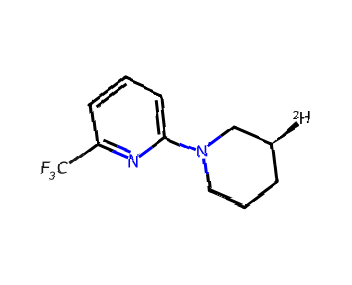 [2H][C@H]1CCCN(c2cccc(C(F)(F)F)n2)C1